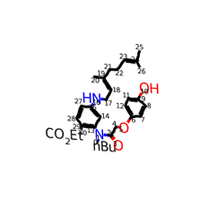 CCCCN(C(=O)COc1ccc(O)cc1)c1cc(NCC=C(C)CCC=C(C)C)ccc1C(=O)OCC